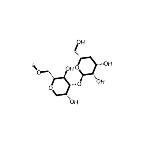 OC[C@@H]1C[C@H](O)[C@H](O)[C@@H](O[C@H]2[C@H](O)[C@@H](COI)OC[C@H]2O)O1